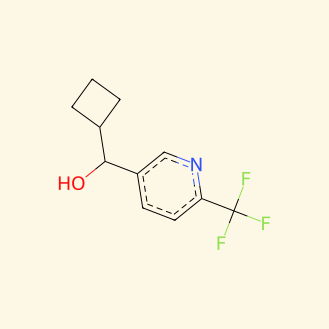 OC(c1ccc(C(F)(F)F)nc1)C1CCC1